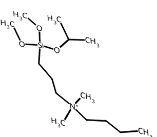 CCCC[N+](C)(C)CCC[Si](OC)(OC)OC(C)C